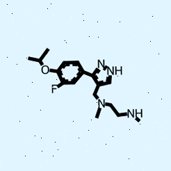 CNCCN(C)Cc1c[nH]nc1-c1ccc(OC(C)C)c(F)c1